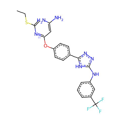 C=C(/N=C(\C=C(N)N)Oc1ccc(-c2nnc(Nc3cccc(C(F)(F)F)c3)[nH]2)cc1)SCC